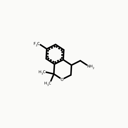 CC1(C)OCC(CN)c2ccc(C(F)(F)F)cc21